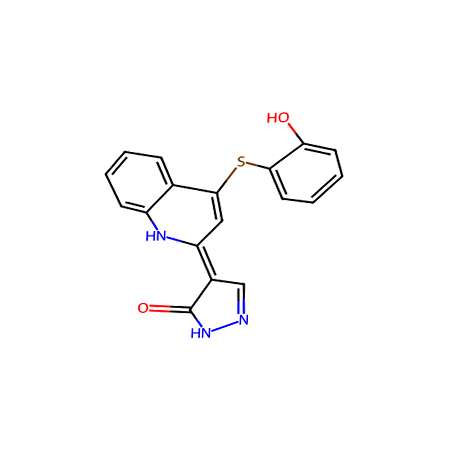 O=C1NN=CC1=C1C=C(Sc2ccccc2O)c2ccccc2N1